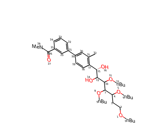 CCCCOCCC(OCCCC)C(OCCCC)C(OCCCC)C(O)[C@@H](O)c1ccc(-c2cccc(C(=O)NC)c2)cc1C